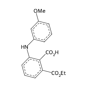 CCOC(=O)c1cccc(Nc2cccc(OC)c2)c1C(=O)O